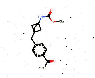 COC(=O)c1ccc(CC23CC(NC(=O)OC(C)(C)C)(C2)C3)cc1